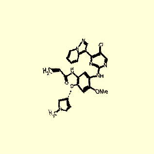 C=CC(=O)Nc1cc(Nc2ncc(Cl)c(-c3cnn4ccccc34)n2)c(OC)cc1O[C@@H]1CCN(C)C1